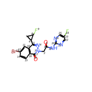 O=C(Cn1nc(C2CC2F)c2cc(Br)ccc2c1=O)Nc1ncc(F)cn1